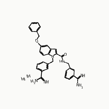 I.I.N=C(N)c1cccc(CNC(=O)c2cc3cc(OCc4ccccc4)ccc3n2Cc2cccc(C(=N)N)c2)c1